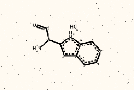 Cl.NC([C]=O)c1cc2ccccc2[nH]1